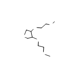 COCCOC1CSCC1OCCOC